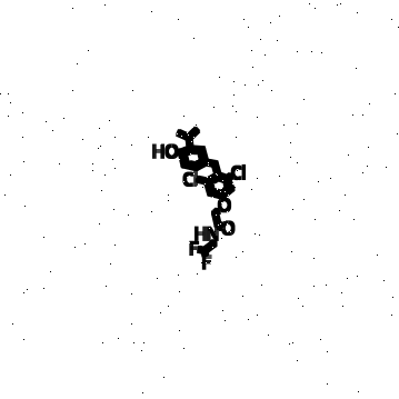 CC(C)c1cc(Cc2c(Cl)cc(OCC(=O)NCC(F)F)cc2Cl)ccc1O